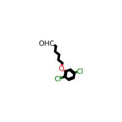 O=CCCCCCOc1cc(Cl)ccc1Cl